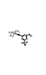 C[Si](C)(C)C#Cc1cc(C=O)cc(S(=O)(=O)F)c1